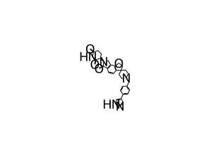 O=C1CCC(N2Cc3c(ccc4c3OCC43CCN(Cc4ccc(-c5cn[nH]c5)cc4)CC3)C2=O)C(=O)N1